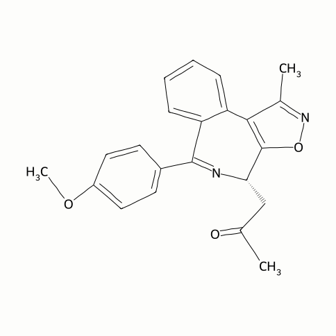 COc1ccc(C2=N[C@@H](CC(C)=O)c3onc(C)c3-c3ccccc32)cc1